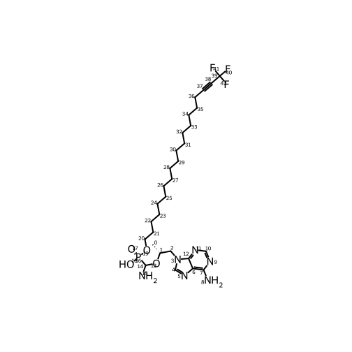 C[C@H](Cn1cnc2c(N)ncnc21)OC(N)P(=O)(O)OCCCCCCCCCCCCCCCCCC#CC(F)(F)F